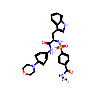 CNC(=O)c1ccc(S(=O)(=O)NC(Cc2c[nH]c3ccccc23)C(=O)Nc2ccc(N3CCOCC3)cc2)cc1